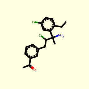 CCc1ccc(Cl)cc1C(C)(N)C(Cl)Cc1cccc(C(C)=O)c1